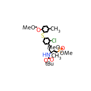 COCOc1ccc(C)cc1Sc1ccc(CC[C@@](C)(/C=C/P(=O)(OC)OC)NC(=O)OC(C)(C)C)c(Cl)c1